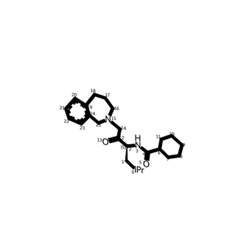 CC(C)C[C@H](NC(=O)C1CCCCC1)C(=O)CN1CCCc2ccccc2C1